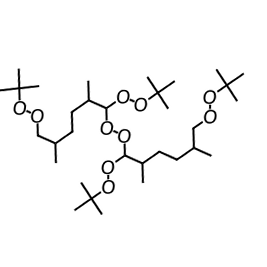 CC(CCC(C)C(OOC(OOC(C)(C)C)C(C)CCC(C)COOC(C)(C)C)OOC(C)(C)C)COOC(C)(C)C